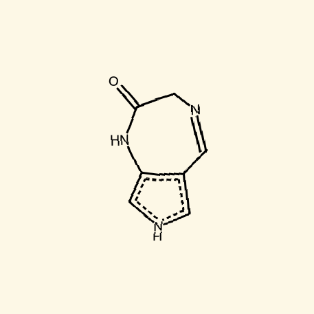 O=C1CN=Cc2c[nH]cc2N1